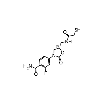 NC(=O)c1ccc(N2C[C@H](CNC(=O)CS)OC2=O)cc1F